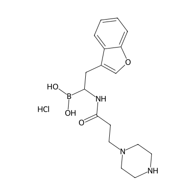 Cl.O=C(CCN1CCNCC1)NC(Cc1coc2ccccc12)B(O)O